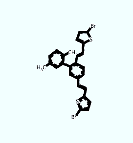 Cc1ccc(C)c(-c2cc(/C=C/c3ccc(Br)s3)ccc2/C=C/C2=CCC(Br)S2)c1